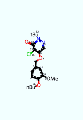 CCCCOc1ccc(COc2cnn(C(C)(C)C)c(=O)c2Cl)cc1OC